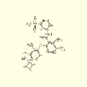 Cc1c(Oc2nnc(C(F)(F)F)c(C)c2C(=O)Nc2cccc(S(C)(=O)=O)c2)ccc(C2(C#N)CCC2)c1F